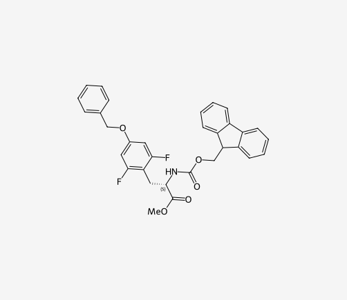 COC(=O)[C@H](Cc1c(F)cc(OCc2ccccc2)cc1F)NC(=O)OCC1c2ccccc2-c2ccccc21